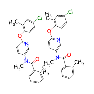 Cc1cc(Cl)ccc1Oc1ccc(N(C)C(=O)c2ccccc2C)cn1.Cc1cc(Cl)ccc1Oc1ccc(N(C)C(=O)c2ccccc2C)cn1